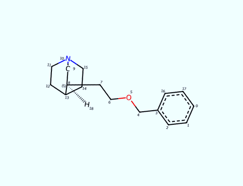 c1ccc(COCC[C@@H]2CN3CCC2CC3)cc1